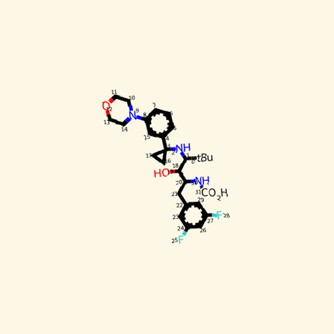 CC(C)(C)C(NC1(c2cccc(N3CCOCC3)c2)CC1)C(O)C(Cc1cc(F)cc(F)c1)NC(=O)O